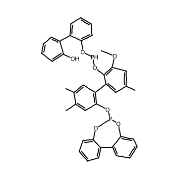 COc1cc(C)cc(-c2cc(C)c(C)cc2Op2oc3ccccc3c3ccccc3o2)c1OPOc1ccccc1-c1ccccc1O